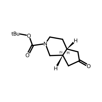 CC(C)(C)OC(=O)N1CC[C@@H]2CC(=O)C[C@@H]2C1